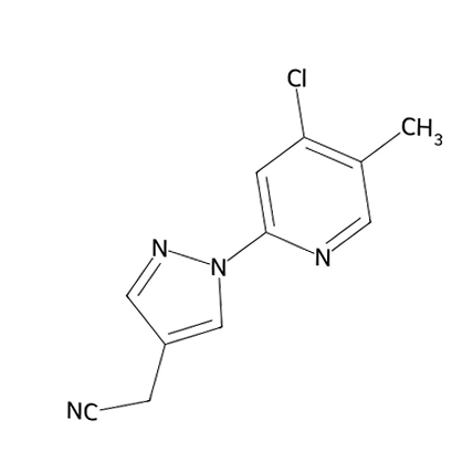 Cc1cnc(-n2cc(CC#N)cn2)cc1Cl